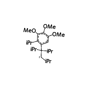 COc1cc(C([C]C(C)C)(C(C)C)C(C)C)c(C(C)C)c(OC)c1OC